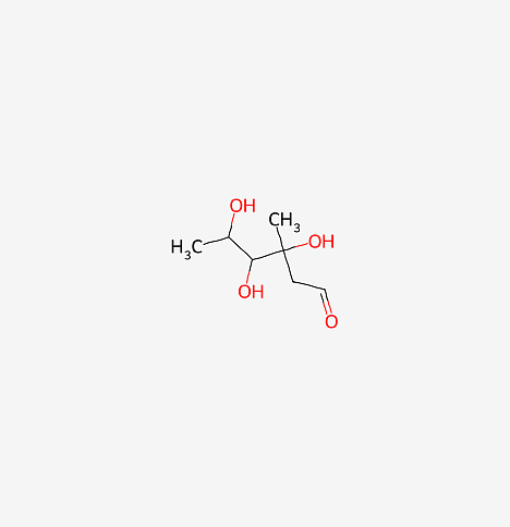 CC(O)C(O)C(C)(O)CC=O